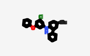 CC(C)(C)c1ccc(Nc2cc(Cl)cc(Oc3ccccc3)c2)c(-c2ccccc2)c1